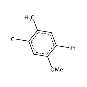 COc1cc(Cl)c(C)cc1C(C)C